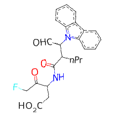 CCCC(C(=O)NC(CC(=O)O)C(=O)CF)C(C=O)n1c2ccccc2c2ccccc21